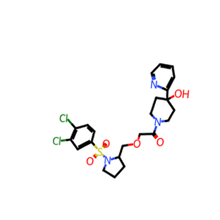 O=C(COCC1CCCN1S(=O)(=O)c1ccc(Cl)c(Cl)c1)N1CCC(O)(c2ccccn2)CC1